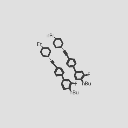 CCCCc1ccc(-c2ccc(C#C[C@H]3CC[C@H](CC)CC3)cc2)cc1F.CCCCc1ccc(-c2ccc(C#C[C@H]3CC[C@H](CCC)CC3)cc2)cc1F